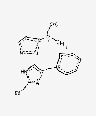 CCc1nc(-c2ccccc2)c[nH]1.C[SiH](C)n1ccnc1